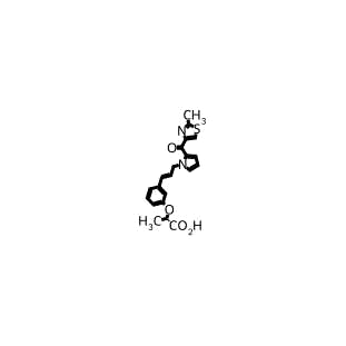 Cc1nc(C(=O)c2cccn2C/C=C/c2cccc(O[C@@H](C)C(=O)O)c2)cs1